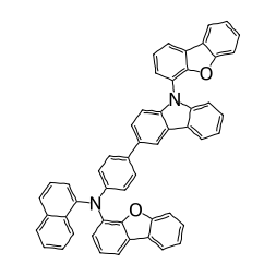 c1ccc2c(N(c3ccc(-c4ccc5c(c4)c4ccccc4n5-c4cccc5c4oc4ccccc45)cc3)c3cccc4c3oc3ccccc34)cccc2c1